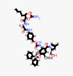 C=CCCC(C)[C@H](OC(N)=O)C(=O)N[C@@H](C)C(=O)Nc1ccc(COC(=O)Nc2cc(O[Si](c3ccccc3)(c3ccccc3)C(C)(C)C)c(OC)cc2C(=O)N2C=C(C)C[C@H]2CO)cc1